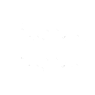 CN1CCCC[C@H](Nc2nc(Cl)nc(NNC(=O)[C@@H](CNC(=O)O)CC3CCCC3)c2F)C1=O.CN1CCCC[C@H](Nc2nc(Cl)nc(NNC(=O)[C@@H](CNC(=O)O)CC3CCCC3)c2F)C1=O